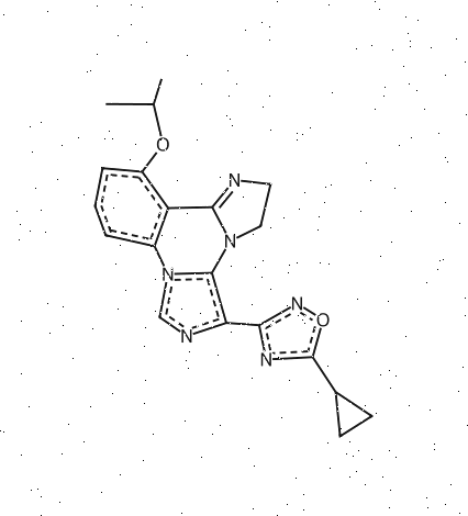 CC(C)Oc1cccc2c1C1=NCCN1c1c(-c3noc(C4CC4)n3)ncn1-2